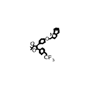 CC1(C)OC(c2ccc(CC(F)(F)F)cc2)=C(c2ccc(OCc3ccc4ccccc4n3)cc2)C1=O